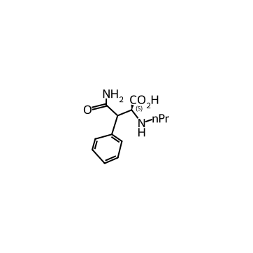 CCCN[C@H](C(=O)O)C(C(N)=O)c1ccccc1